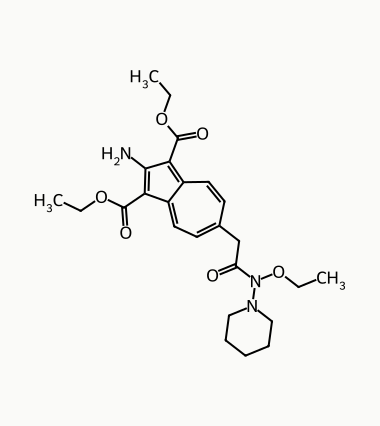 CCOC(=O)c1c2ccc(CC(=O)N(OCC)N3CCCCC3)ccc-2c(C(=O)OCC)c1N